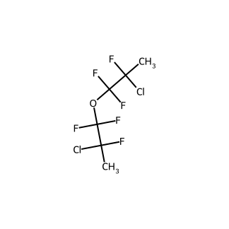 CC(F)(Cl)C(F)(F)OC(F)(F)C(C)(F)Cl